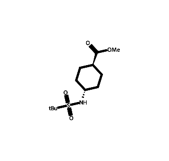 COC(=O)[C@H]1CC[C@H](NS(=O)(=O)C(C)(C)C)CC1